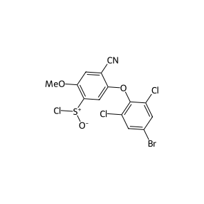 COc1cc(C#N)c(Oc2c(Cl)cc(Br)cc2Cl)cc1[S+]([O-])Cl